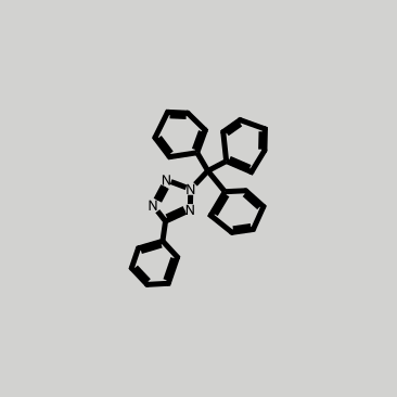 c1ccc(-c2nnn(C(c3ccccc3)(c3ccccc3)c3ccccc3)n2)cc1